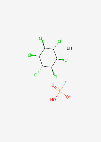 Cl[C@H]1[C@H](Cl)[C@@H](Cl)[C@@H](Cl)[C@H](Cl)[C@H]1Cl.O=P(O)(O)F.[LiH]